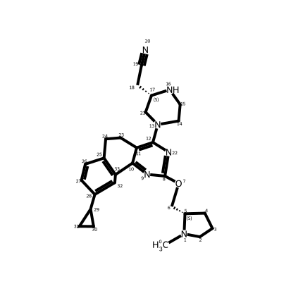 CN1CCC[C@H]1COc1nc2c(c(N3CCN[C@@H](CC#N)C3)n1)CCc1ccc(C3CC3)cc1-2